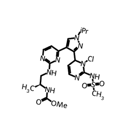 COC(=O)N[C@@H](C)CNc1nccc(-c2cn(C(C)C)nc2C2C=CN=C(NS(C)(=O)=O)N2Cl)n1